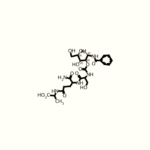 CC(=O)[C@H](NC(=O)c1ccccc1)[C@@H](OC(=O)NC(CO)C(=O)NC(CCC(=O)NC(C)C(=O)O)C(N)=O)[C@H](O)[C@H](O)CO